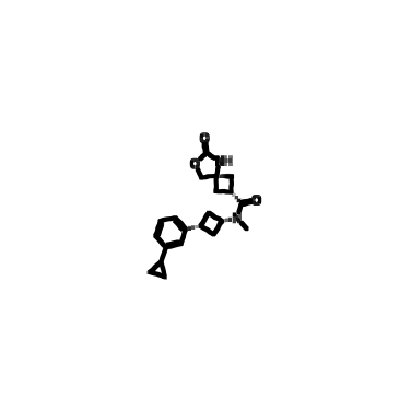 CN(C(=O)[C@H]1C[C@]2(COC(=O)N2)C1)[C@H]1C[C@@H](c2cccc(C3CC3)c2)C1